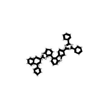 c1ccc(-c2nc(-c3ccccc3)nc(-c3ccc4c(c3)oc3cccc(-c5cccc6nc(-c7cc(-c8ccccc8)c8ccccc8c7)oc56)c34)n2)cc1